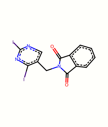 O=C1c2ccccc2C(=O)N1Cc1cnc(I)nc1I